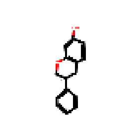 Oc1ccc2c(c1)OC[C@H](c1ccccc1)C2